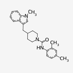 Cc1ccc(NC(=O)N2CCC(Cc3cn(C)c4ccccc34)CC2)c(C)c1